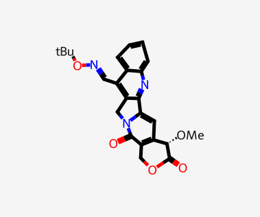 CO[C@@H]1C(=O)OCc2c1cc1n(c2=O)Cc2c-1nc1ccccc1c2/C=N/OC(C)(C)C